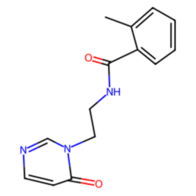 Cc1ccccc1C(=O)NCCn1cnccc1=O